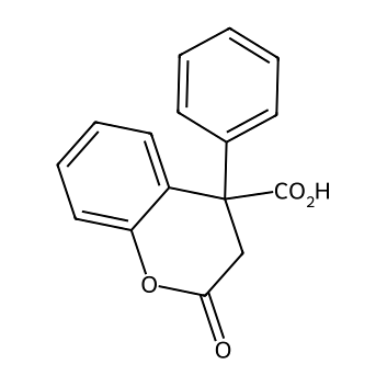 O=C1CC(C(=O)O)(c2ccccc2)c2ccccc2O1